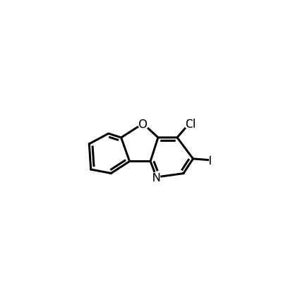 Clc1c(I)cnc2c1oc1ccccc12